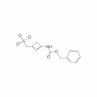 O=C(NC12CC(CS(=O)(=O)Cl)(C1)C2)OCc1ccccc1